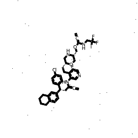 C=C=C(C[C@@H](c1ccc(Cl)cc1)c1ccc2c(c1)CCCC2)Nc1cncc(F)c1CC[C@@H]1CN[C@H](COC(=C=C)NCC(F)(F)I)CO1